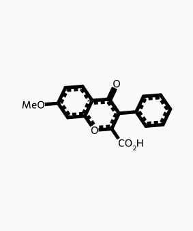 COc1ccc2c(=O)c(-c3ccccc3)c(C(=O)O)oc2c1